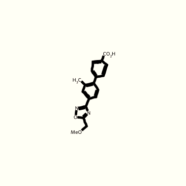 COCc1nc(-c2ccc(-c3ccc(C(=O)O)cc3)c(C)c2)no1